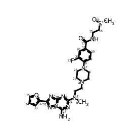 CN(CCN1CCN(c2ccc(C(=O)NCC[S@@+](C)[O-])cc2F)CC1)c1nc(N)n2nc(-c3ccco3)nc2n1